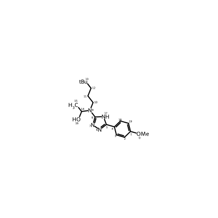 COc1ccc(-c2nnc(N(CCCC(C)(C)C)C(C)O)[nH]2)cc1